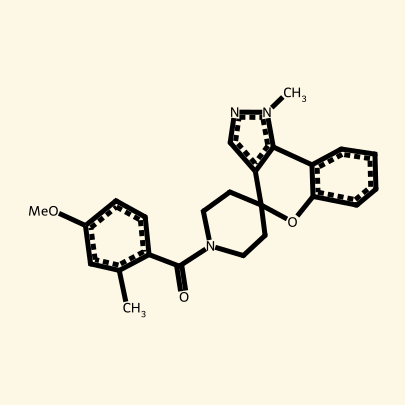 COc1ccc(C(=O)N2CCC3(CC2)Oc2ccccc2-c2c3cnn2C)c(C)c1